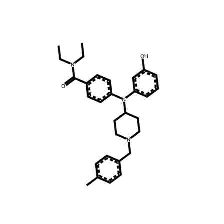 CCN(CC)C(=O)c1ccc(N(c2cccc(O)c2)C2CCN(Cc3ccc(C)cc3)CC2)cc1